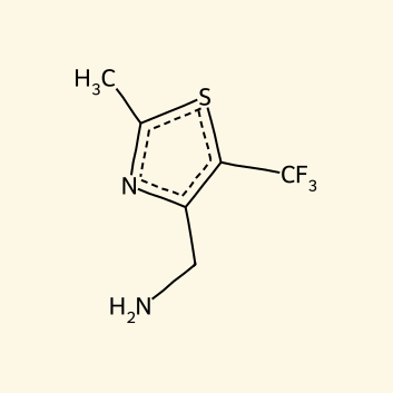 Cc1nc(CN)c(C(F)(F)F)s1